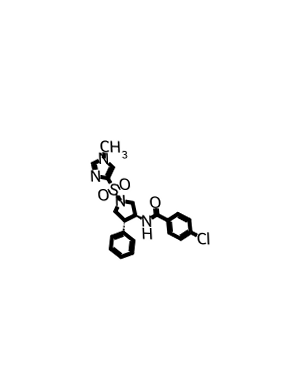 Cn1cnc(S(=O)(=O)N2C[C@@H](NC(=O)c3ccc(Cl)cc3)[C@H](c3ccccc3)C2)c1